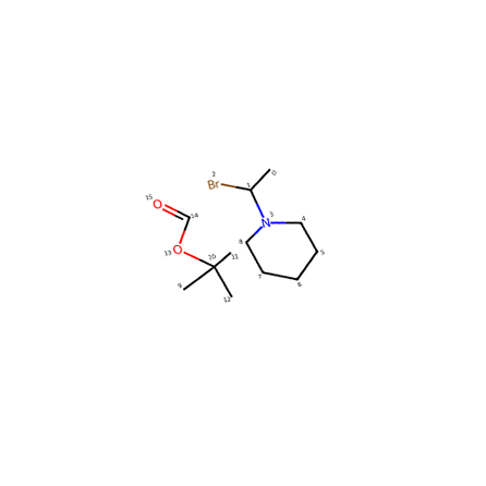 CC(Br)N1CCCCC1.CC(C)(C)OC=O